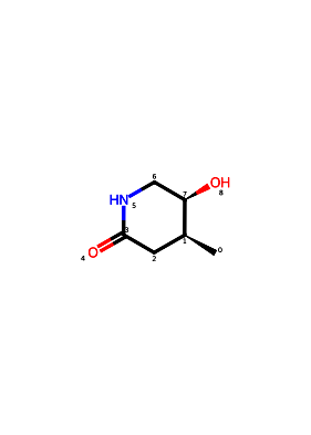 C[C@H]1CC(=O)NC[C@H]1O